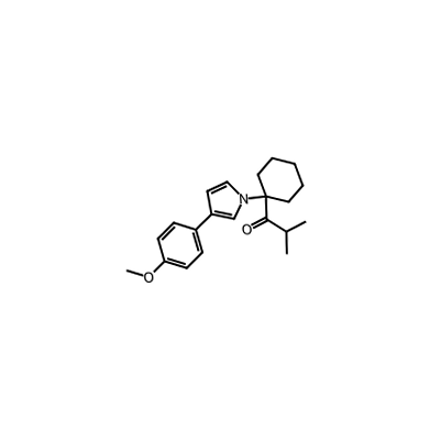 COc1ccc(-c2ccn(C3(C(=O)C(C)C)CCCCC3)c2)cc1